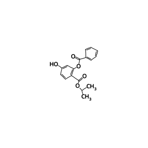 CC(C)OC(=O)c1ccc(O)cc1OC(=O)c1ccccc1